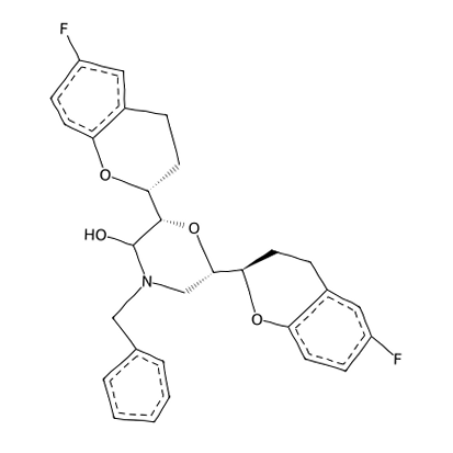 OC1[C@H]([C@H]2CCc3cc(F)ccc3O2)O[C@H]([C@H]2CCc3cc(F)ccc3O2)CN1Cc1ccccc1